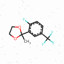 CC1(c2cc(C(F)(F)F)ccc2F)OCCO1